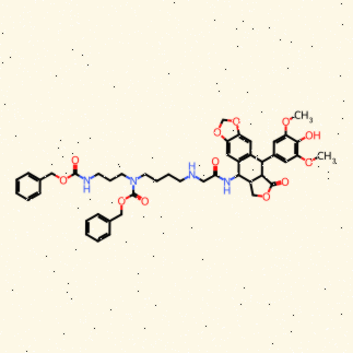 COc1cc(C2c3cc4c(cc3C(NC(=O)CNCCCCN(CCCNC(=O)OCc3ccccc3)C(=O)OCc3ccccc3)C3COC(=O)C23)OCO4)cc(OC)c1O